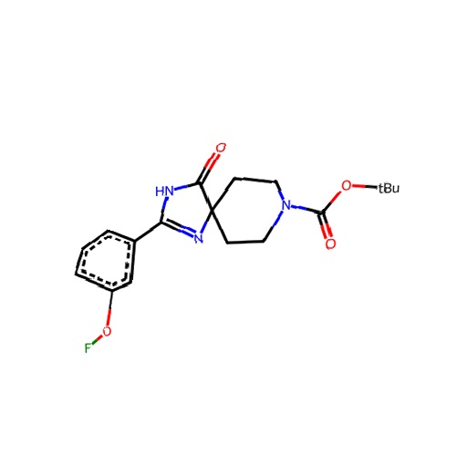 CC(C)(C)OC(=O)N1CCC2(CC1)N=C(c1cccc(OF)c1)NC2=O